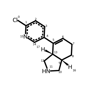 Clc1ccc(C2=CCC[C@@H]3CNC[C@H]23)cn1